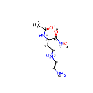 CC(=O)N[C@@H](CCNCCN)C(=O)N=O